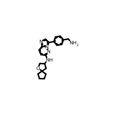 NCc1ccc(-c2cnc3ccc(NC4COC5(CCCC5)C4)nn23)cc1